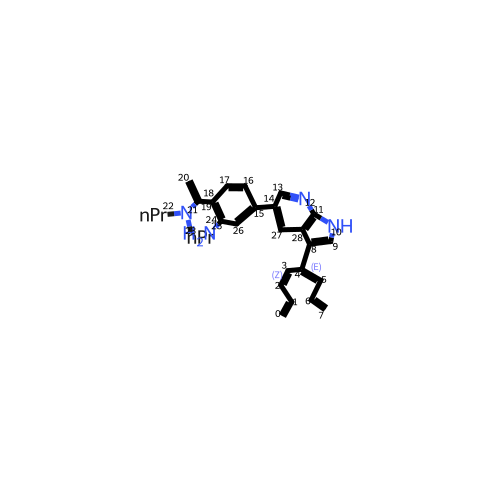 C=C/C=C\C(=C/C=C)c1c[nH]c2ncc(-c3ccc(C(=C)N(CCC)CCC)c(N)c3)cc12